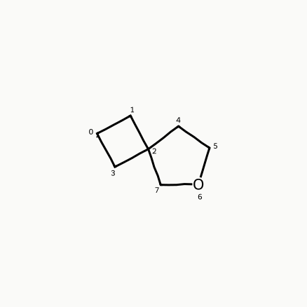 [CH]1CC2(C1)CCOC2